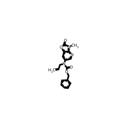 C=CCN(C(=O)OCc1ccccc1)c1cnc2c(c1)oc(=O)n2C